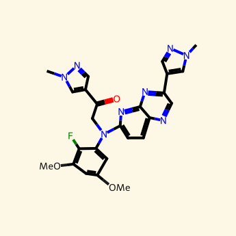 COc1cc(OC)c(F)c(N(CC(=O)c2cnn(C)c2)c2ccc3ncc(-c4cnn(C)c4)nc3n2)c1